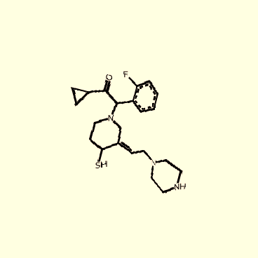 O=C(C1CC1)C(c1ccccc1F)N1CCC(S)C(=CCN2CCNCC2)C1